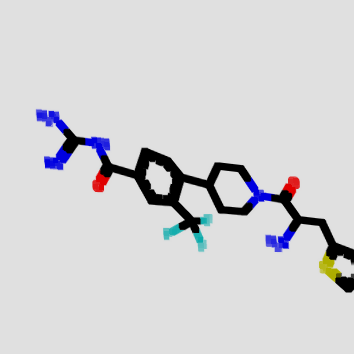 N=C(N)NC(=O)c1ccc(C2CCN(C(=O)C(N)Cc3cccs3)CC2)c(C(F)(F)F)c1